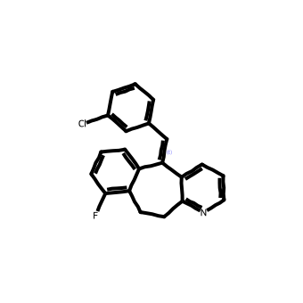 Fc1cccc2c1CCc1ncccc1/C2=C/c1cccc(Cl)c1